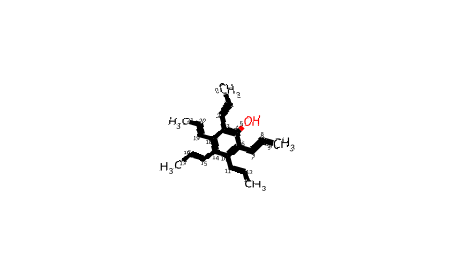 CC=Cc1c(O)c(C=CC)c(C=CC)c(C=CC)c1C=CC